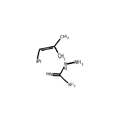 CC(C)=CC(C)C.N=C(N)NN